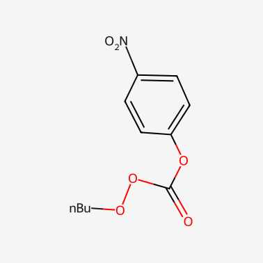 CCCCOOC(=O)Oc1ccc([N+](=O)[O-])cc1